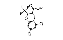 O=C(O)C1Cc2c(Cl)cc(Cl)cc2OC1C(F)(F)F